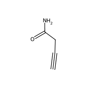 [C]#CCC(N)=O